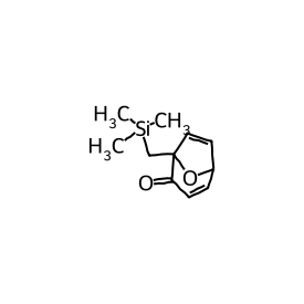 C[Si](C)(C)CC12C=CC(C=CC1=O)O2